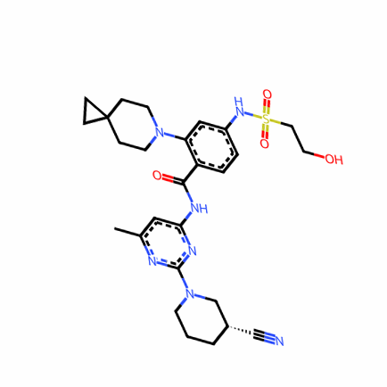 Cc1cc(NC(=O)c2ccc(NS(=O)(=O)CCO)cc2N2CCC3(CC2)CC3)nc(N2CCC[C@@H](C#N)C2)n1